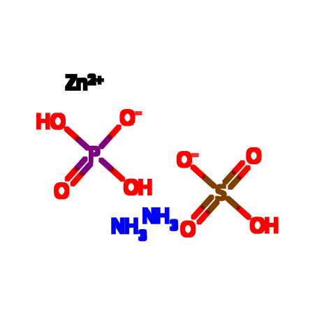 N.N.O=P([O-])(O)O.O=S(=O)([O-])O.[Zn+2]